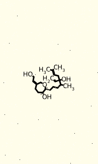 C=CC(O)(CC=C(C)C)C(C)CCC[C@@H]1OCC(=CCO)CC[C@H]1O